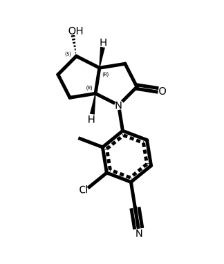 Cc1c(N2C(=O)C[C@@H]3[C@H]2CC[C@@H]3O)ccc(C#N)c1Cl